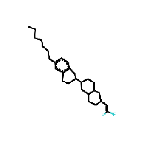 CCCCCCCc1ccc2c(c1)CCC(C1CCC3CC(C=C(F)F)CCC3C1)C2